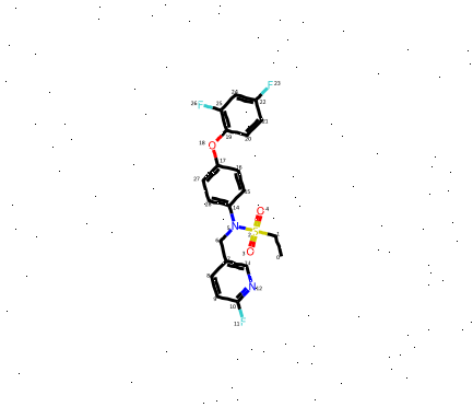 CCS(=O)(=O)N(Cc1ccc(F)nc1)c1ccc(Oc2ccc(F)cc2F)cc1